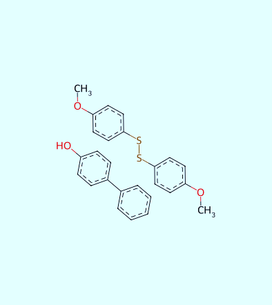 COc1ccc(SSc2ccc(OC)cc2)cc1.Oc1ccc(-c2ccccc2)cc1